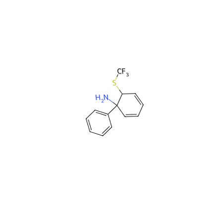 NC1(c2ccccc2)C=CC=CC1SC(F)(F)F